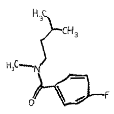 CC(C)CCN(C)C(=O)c1ccc(F)cc1